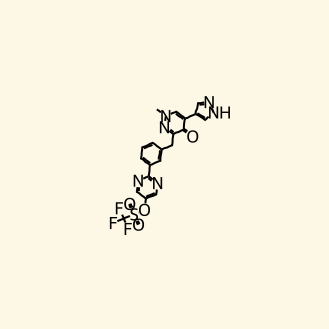 Cn1cc(-c2cn[nH]c2)c(=O)c(Cc2cccc(-c3ncc(OS(=O)(=O)C(F)(F)F)cn3)c2)n1